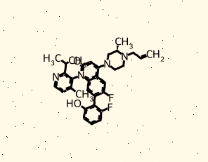 C=CCN1CCN(c2cc(=O)n(-c3c(C)ccnc3C(C)C)c3cc(-c4c(O)cccc4F)c(F)cc23)C[C@H]1C